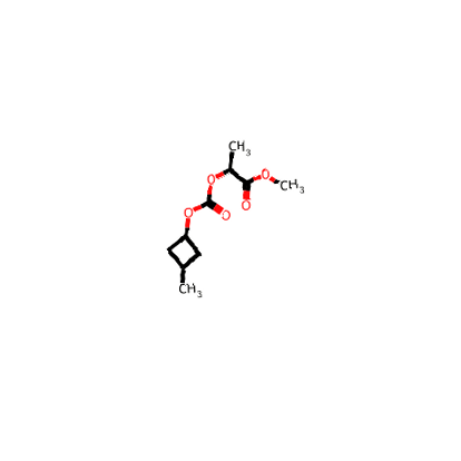 COC(=O)C(C)OC(=O)OC1CC(C)C1